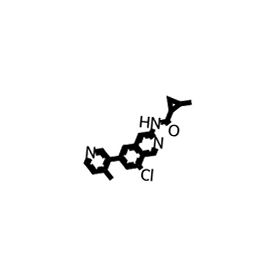 Cc1ccncc1-c1cc(Cl)c2cnc(NC(=O)C3CC3C)cc2c1